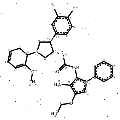 CCOc1nn(-c2ccccc2)c(NC(=O)N[C@@H]2CN(C3CC=CC=C3OC)C[C@H]2c2ccc(F)c(F)c2)c1C